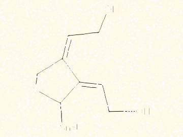 OCC=C1CS[CH]([SnH])C1=CCO